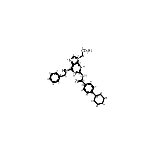 CCOC(=O)Cn1cnc2c(NCc3ccccc3)nc(NC(=O)c3ccc(C4CCCCC4)cc3)nc21